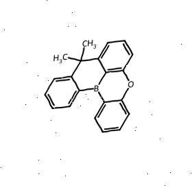 CC1(C)c2ccccc2B2c3ccccc3Oc3cccc1c32